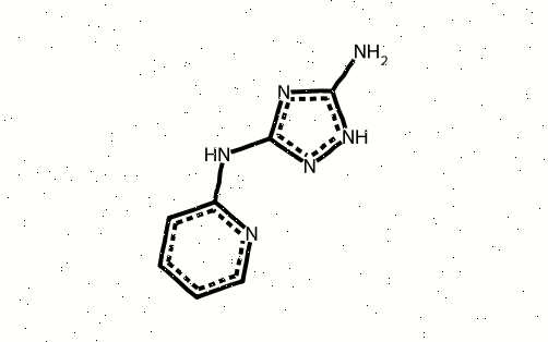 Nc1nc(Nc2ccccn2)n[nH]1